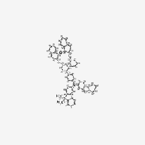 CC1(C)c2ccccc2-c2cc(N(c3ccc(-c4ccc5c(c4)-c4ccccc4Cc4ccc6ccccc6c4Oc4c(ccc6ccccc46)C5)cc3)c3ccc4c(c3)oc3ccccc34)ccc21